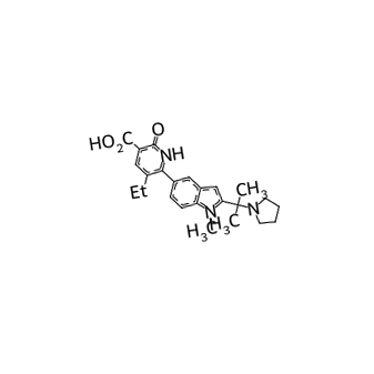 CCc1cc(C(=O)O)c(=O)[nH]c1-c1ccc2c(c1)cc(C(C)(C)N1CCCC1)n2C